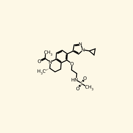 CC(=O)N1c2ccc(-c3cnn(C4CC4)c3)c(OCCNS(C)(=O)=O)c2CC[C@@H]1C